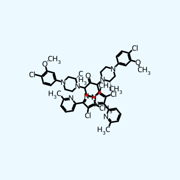 COc1cc(N2CCN(C(Cn3nc(-c4cccc(C)n4)c(Cl)c3C)C(=O)C(Cn3nc(-c4cccc(C)n4)c(Cl)c3C)N3CCN(c4ccc(Cl)c(OC)c4)C[C@@H]3C)[C@@H](C)C2)ccc1Cl